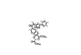 COC(=O)COc1c(C(=O)OC)sc2cc(C(=O)N(C)c3cc(-c4ccccc4)n[nH]3)ccc12